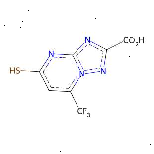 O=C(O)c1nc2nc(S)cc(C(F)(F)F)n2n1